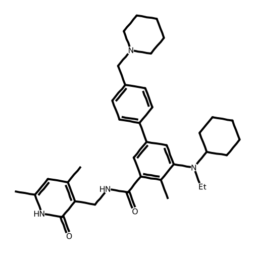 CCN(c1cc(-c2ccc(CN3CCCCC3)cc2)cc(C(=O)NCc2c(C)cc(C)[nH]c2=O)c1C)C1CCCCC1